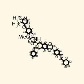 COC(=O)[C@H](Cc1ccc(Oc2ccnc(C)c2C)cc1)NC(=O)[C@@H]1Cc2cc3c(cc2CN1Cc1ccccc1)O[C@@H](c1ccc(OCC2CCCCC2)cc1)CO3